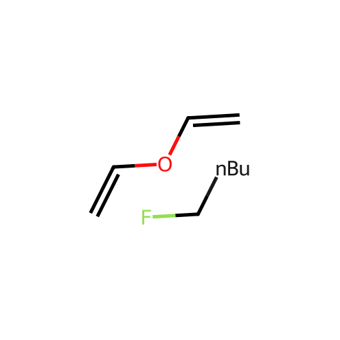 C=COC=C.CCCCCF